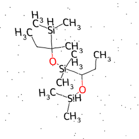 CCC(O[SiH](C)C)[Si](C)(C)OC(C)(CC)[SiH](C)C